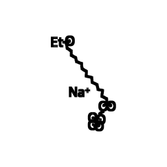 CCC(=O)CCCCCCCCCCCCCCCCC(=O)OCCOS(=O)(=O)[O-].[Na+]